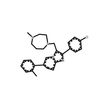 Cc1ccccc1-c1ccc2nc(-c3ccc(Cl)cc3)c(CN3CCCN(C)CC3)n2c1